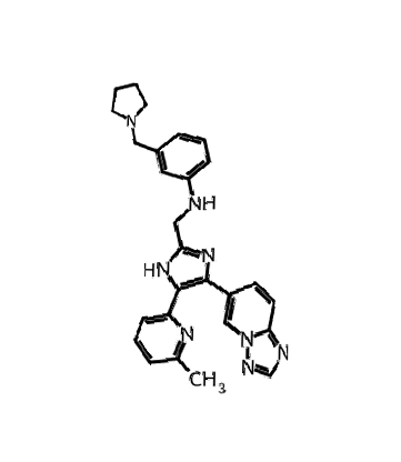 Cc1cccc(-c2[nH]c(CNc3cccc(CN4CCCC4)c3)nc2-c2ccc3ncnn3c2)n1